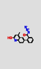 Cc1cc(O)nc2ccc(-c3ccccc3C(=O)N=[N+]=[N-])cc12